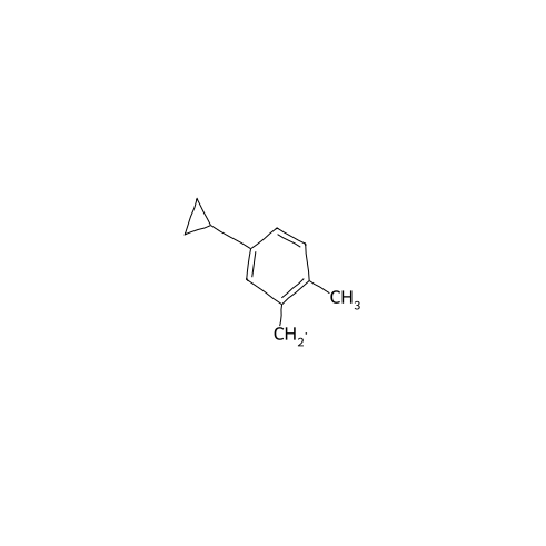 [CH2]c1cc(C2CC2)ccc1C